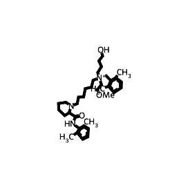 COCC[N+](CCCCO)(CCCCCCN1CCCCC1C(=O)Nc1c(C)cccc1C)Cc1c(C)cccc1C